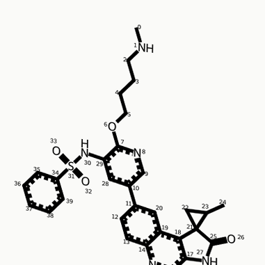 CNCCCCOc1ncc(-c2ccc3ncc4c(c3c2)C2(CC2C)C(=O)N4)cc1NS(=O)(=O)c1ccccc1